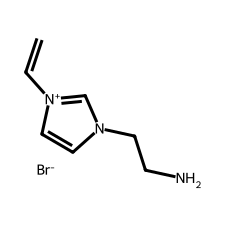 C=C[n+]1ccn(CCN)c1.[Br-]